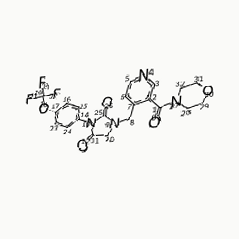 O=C(c1cnccc1CN1CC(=O)N(c2ccc(OC(F)(F)F)cc2)C1=O)N1CCOCC1